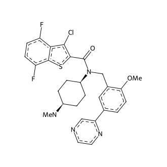 CN[C@H]1CC[C@@H](N(Cc2cc(-c3cnccn3)ccc2OC)C(=O)c2sc3c(F)ccc(F)c3c2Cl)CC1